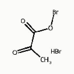 Br.CC(=O)C(=O)OBr